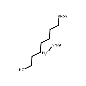 CCCCCC.CCCCCCCCCCCCCCCCO